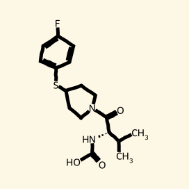 CC(C)[C@H](NC(=O)O)C(=O)N1CCC(Sc2ccc(F)cc2)CC1